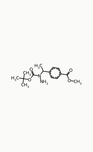 COC(=O)c1ccc(C(C)N(N)C(=O)OC(C)(C)C)cc1